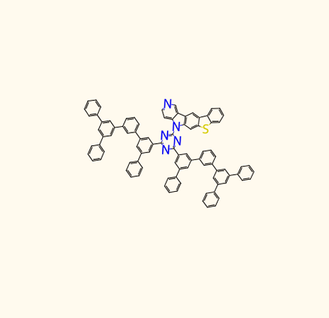 c1ccc(-c2cc(-c3ccccc3)cc(-c3cccc(-c4cc(-c5ccccc5)cc(-c5nc(-c6cc(-c7ccccc7)cc(-c7cccc(-c8cc(-c9ccccc9)cc(-c9ccccc9)c8)c7)c6)nc(-n6c7ccncc7c7cc8c(cc76)sc6ccccc68)n5)c4)c3)c2)cc1